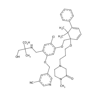 CN1CCN(CCCOC2(COc3cc(OCc4cncc(C#N)c4)c(CNC(C)(CO)C(=O)O)cc3Cl)C=CC=C(c3ccccc3)C2(C)C)CC1=O